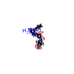 COc1cc(C(=O)N2C[C@@H]3CN(S(C)(=O)=O)C[C@@H]3C2)ccc1Cn1ncc2nc(N)nc(NCC3CC4(CC4)C3)c21